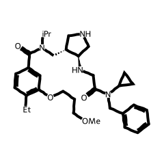 CCc1ccc(C(=O)N(C[C@@H]2CNC[C@H]2NCC(=O)N(Cc2ccccc2)C2CC2)C(C)C)cc1OCCCOC